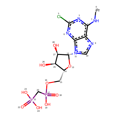 CC(C)Nc1nc(Cl)nc2c1ncn2[C@@H]1O[C@H](COP(=O)(O)CP(=O)(O)O)[C@@H](O)[C@H]1O